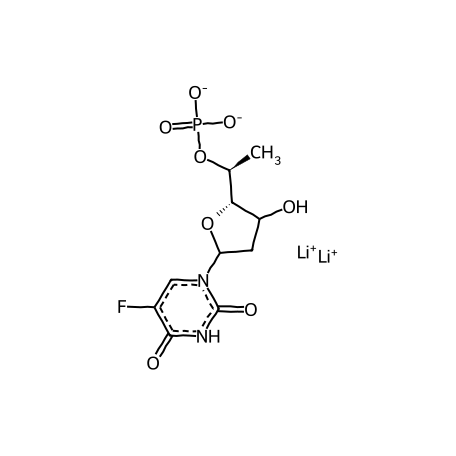 C[C@H](OP(=O)([O-])[O-])[C@H]1OC(n2cc(F)c(=O)[nH]c2=O)CC1O.[Li+].[Li+]